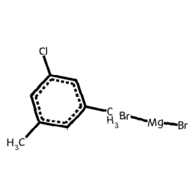 Cc1[c]c(C)cc(Cl)c1.[Br][Mg][Br]